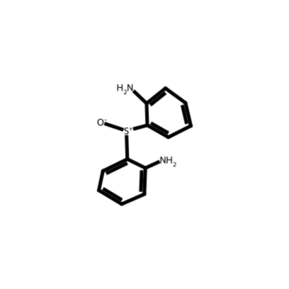 Nc1ccccc1[S+]([O-])c1ccccc1N